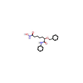 O=C(CCCCC(OCc1ccccc1)C(=O)Nc1ccccc1)NO